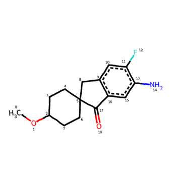 COC1CCC2(CC1)Cc1cc(F)c(N)cc1C2=O